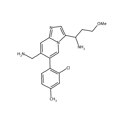 COCCC(N)c1cnc2cc(CN)c(-c3ccc(C)cc3Cl)cn12